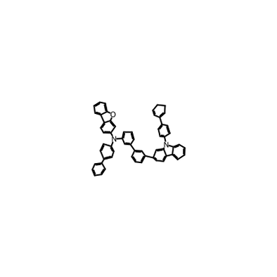 C1=CC(c2ccc(-n3c4ccccc4c4ccc(-c5cccc(-c6cccc(N(c7ccc(-c8ccccc8)cc7)c7ccc8c(c7)oc7ccccc78)c6)c5)cc43)cc2)=CCC1